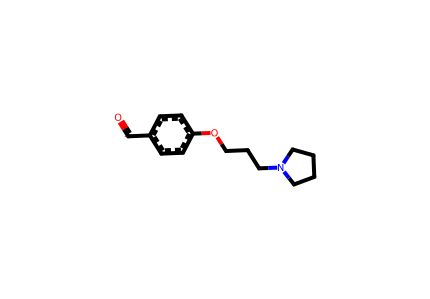 O=[C]c1ccc(OCCCN2CCCC2)cc1